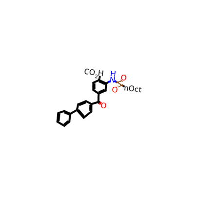 CCCCCCCCS(=O)(=O)Nc1cc(C(=O)c2ccc(-c3ccccc3)cc2)ccc1C(=O)O